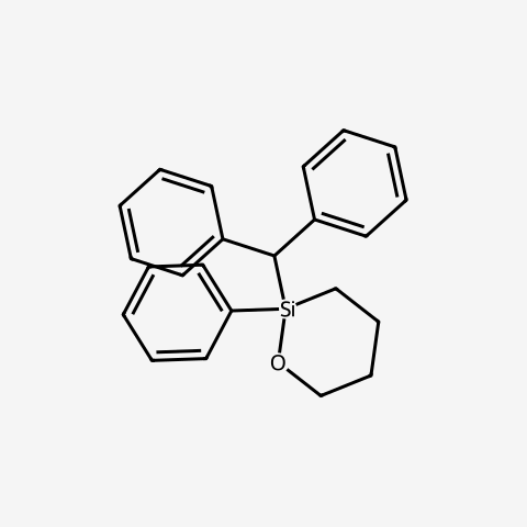 c1ccc(C(c2ccccc2)[Si]2(c3ccccc3)CCCCO2)cc1